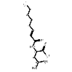 CCCCCC=CC(=O)NC(CC(C)C)C(=O)O